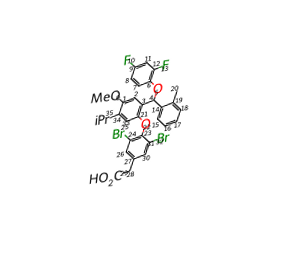 COc1cc(C(Oc2ccc(F)cc2F)c2ccccc2C)c(Oc2c(Br)cc(CC(=O)O)cc2Br)cc1C(C)C